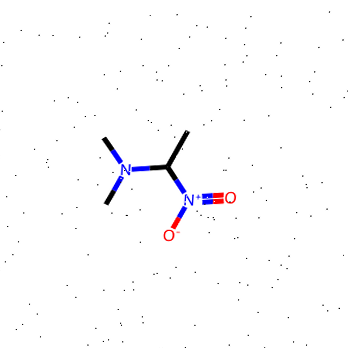 CC(N(C)C)[N+](=O)[O-]